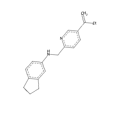 C=C(CC)c1ccc(CNc2ccc3c(c2)CCC3)nc1